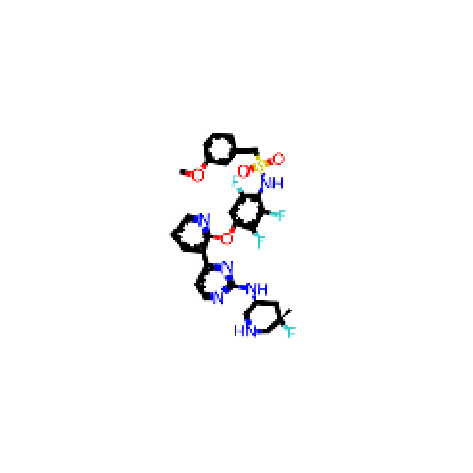 COc1cccc(CS(=O)(=O)Nc2c(F)cc(Oc3ncccc3-c3ccnc(N[C@@H]4CNC[C@@](C)(F)C4)n3)c(F)c2F)c1